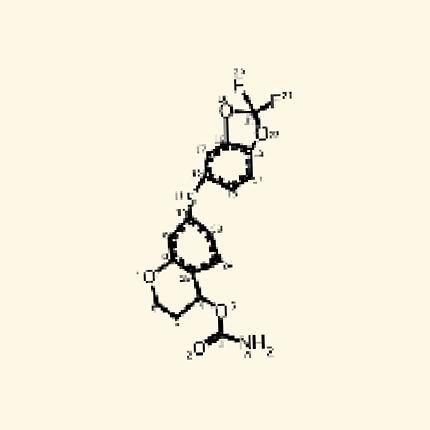 NC(=O)OC1CCOc2cc(Sc3ccc4c(c3)OC(F)(F)O4)ccc21